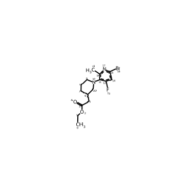 CCOC(=O)CC1CCCN(c2c(F)cc(Br)nc2C)C1